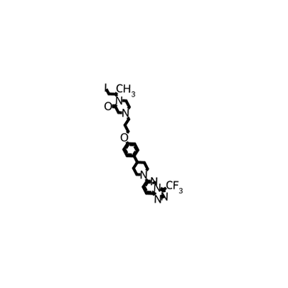 CC(CI)N1CCN(CCCOc2ccc(C3CCN(c4ccc5nnc(C(F)(F)F)n5n4)CC3)cc2)CC1=O